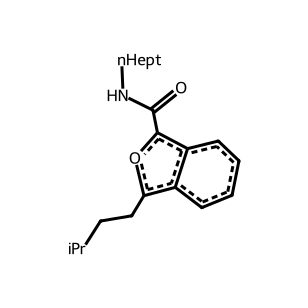 CCCCCCCNC(=O)c1oc(CCC(C)C)c2ccccc12